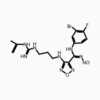 C=C(C)NC(=N)NCCCNc1nonc1/C(=N\N=O)Nc1ccc(F)c(Br)c1